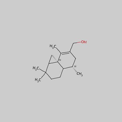 CC1=C(CO)C[C@H](C)C2CCC(C)(C)C3C[C@]123